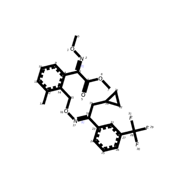 CO/N=C(/C(=O)OC)c1cccc(C)c1CO/N=C(\CC1CC1)c1cccc(C(F)(F)F)c1